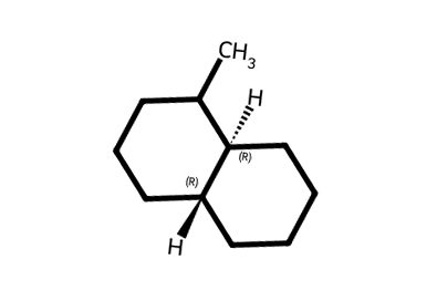 CC1CCC[C@H]2CCCC[C@H]12